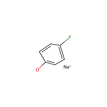 [Na+].[O-]c1ccc(F)cc1